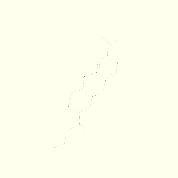 CCOC(=O)c1cnc2c(=O)c3cc([N+](=O)[O-])ccc3oc2c1